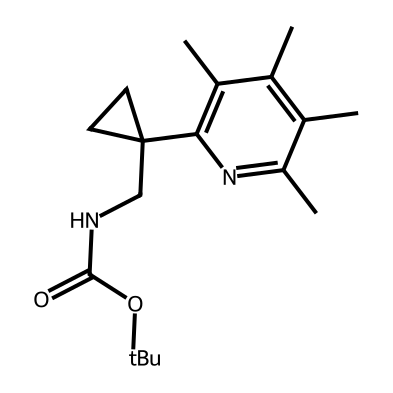 Cc1nc(C2(CNC(=O)OC(C)(C)C)CC2)c(C)c(C)c1C